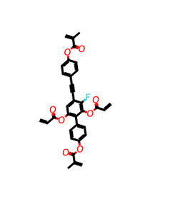 C=CC(=O)Oc1cc(C#Cc2ccc(OC(=O)C(=C)C)cc2)c(F)c(OC(=O)C=C)c1-c1ccc(OC(=O)C(=C)C)cc1